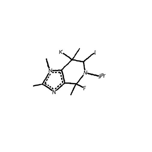 Cc1nc2c(n1C)[C](C)([K])C(I)N(C(C)C)C2(C)F